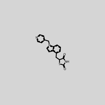 O=C1NC(=O)C(Cc2cccc3c2ccn3Cc2ccncc2)S1